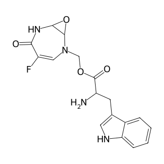 NC(Cc1c[nH]c2ccccc12)C(=O)OCN1C=C(F)C(=O)NC2OC21